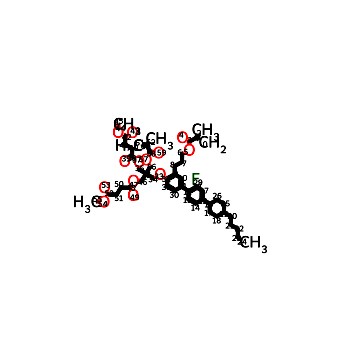 C=C(C)C(=O)OCCCc1cc(-c2ccc(C3CCC(CCCCC)CC3)cc2F)ccc1OCC(COC(=O)CCC(=O)OC)(COC(=O)CCC(=O)OC)COC(=O)C(=C)C